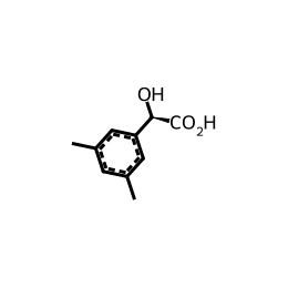 Cc1cc(C)cc([C@@H](O)C(=O)O)c1